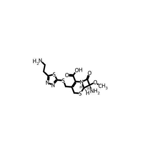 CO[C@@]1(N)C(=O)N2C(C(=O)O)=C(CSc3nnc(CCN)s3)CS[C@@H]21